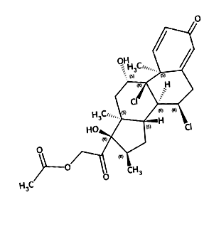 CC(=O)OCC(=O)[C@@]1(O)[C@H](C)C[C@H]2[C@@H]3[C@H](Cl)CC4=CC(=O)C=C[C@]4(C)[C@@]3(Cl)[C@@H](O)C[C@@]21C